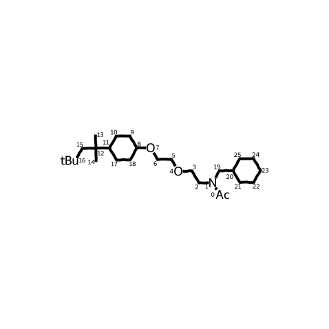 CC(=O)N(CCOCCOC1CCC(C(C)(C)CC(C)(C)C)CC1)CC1CCCCC1